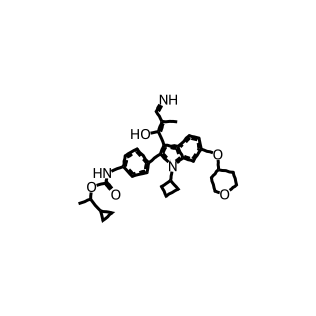 C/C(C=N)=C(/O)c1c(-c2ccc(NC(=O)OC(C)C3CC3)cc2)n(C2CCC2)c2cc(OC3CCOCC3)ccc12